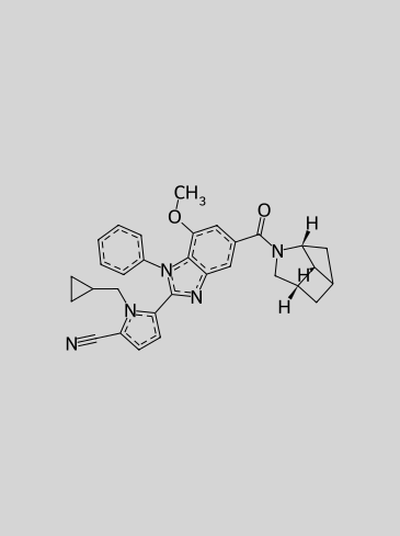 COc1cc(C(=O)N2C[C@H]3CC4C[C@@H]2[C@H]43)cc2nc(-c3ccc(C#N)n3CC3CC3)n(-c3ccccc3)c12